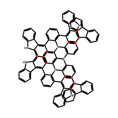 C1=Cc2c(c3ccccc3n2-c2ccc3c(c2)N(c2c(-c4cccc5[nH]c6ccccc6c45)cccc2-c2cccc4[nH]c5ccccc5c24)c2cccc4c2B3c2ccc(-n3c5ccccc5c5ccccc53)cc2N4c2c(-c3cccc4[nH]c5ccccc5c34)cccc2-c2cccc3[nH]c4ccccc4c23)CC1